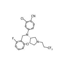 N#Cc1ccc(N(Cc2c(F)cccc2Cl)[C@H]2CCN(CCC(F)(F)F)C2)cc1Cl